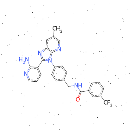 Cc1cnc2c(c1)nc(-c1cccnc1N)n2-c1ccc(CNC(=O)c2cccc(C(F)(F)F)c2)cc1